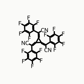 N#CC(=C1C(=C(C#N)c2c(F)c(F)c(F)c(F)c2F)C1=C(C#N)c1c(F)c(F)c(F)c(F)c1F)c1c(F)c(F)c(F)c(F)c1F